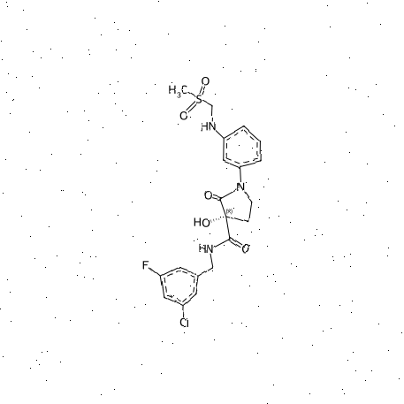 CS(=O)(=O)CNc1cccc(N2CC[C@@](O)(C(=O)NCc3cc(F)cc(Cl)c3)C2=O)c1